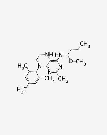 CCCC(Nc1nc(C)nc2c1NCCN2c1c(C)cc(C)cc1C)OC